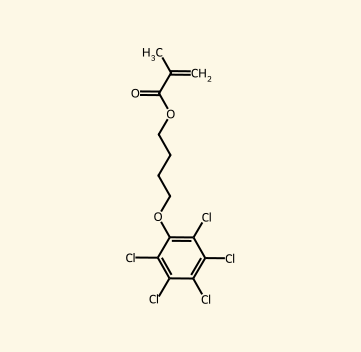 C=C(C)C(=O)OCCCCOc1c(Cl)c(Cl)c(Cl)c(Cl)c1Cl